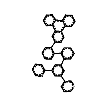 c1ccc(-c2cc(-c3cccnc3)cc(-c3ccccc3-c3ccccc3-c3ccc4c5ccccc5c5ccccc5c4c3)c2)nc1